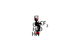 O=C(NCCN1CCNC1=O)c1cccc(Cn2c(CCCC(F)(F)F)nc(-c3ccc(Cl)cc3)cc2=O)c1